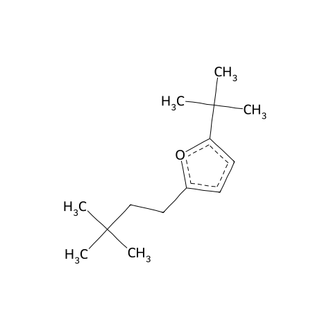 CC(C)(C)CCc1ccc(C(C)(C)C)o1